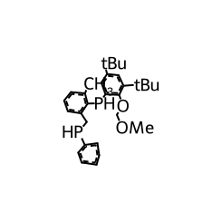 COCOc1c(Pc2c(C)cccc2CPc2ccccc2)cc(C(C)(C)C)cc1C(C)(C)C